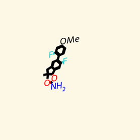 COc1ccc(-c2cc3c(cc2F)C(OC(N)=O)C(C)(C)C3)c(F)c1